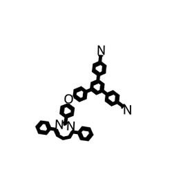 N#Cc1ccc(-c2cc(-c3ccc(C#N)cc3)cc(-c3ccc(Oc4ccc(C5=N/C(c6ccccc6)=C\CC/C(c6ccccc6)=N\5)cc4)cc3)c2)cc1